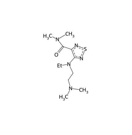 CCN(CCN(C)C)c1nsnc1C(=O)N(C)C